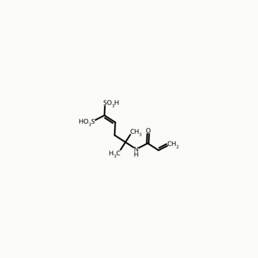 C=CC(=O)NC(C)(C)CC=C(S(=O)(=O)O)S(=O)(=O)O